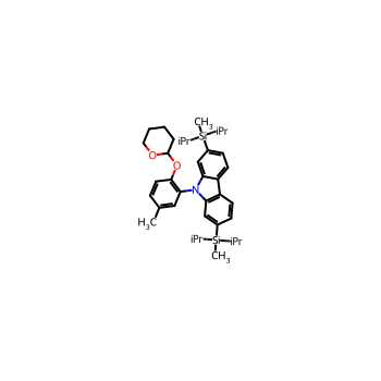 Cc1ccc(OC2CCCCO2)c(-n2c3cc([Si](C)(C(C)C)C(C)C)ccc3c3ccc([Si](C)(C(C)C)C(C)C)cc32)c1